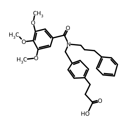 COc1cc(C(=O)N(CCCc2ccccc2)Cc2ccc(CCC(=O)O)cc2)cc(OC)c1OC